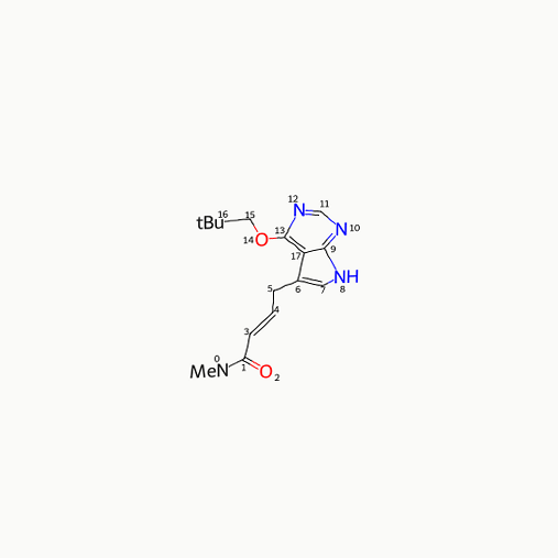 CNC(=O)/C=C/Cc1c[nH]c2ncnc(OCC(C)(C)C)c12